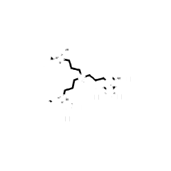 CO[Si](CCC[Si](C)(CCC[Si](OC)(OC)OC)CCC[Si](OC)(OC)OC)(OC)OC